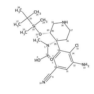 CN(C(=O)O)[C@@]1(c2cc(C#N)cc(N)c2Cl)CCNC[C@H]1O[Si](C)(C)C(C)(C)C